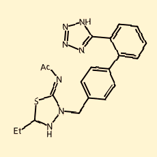 CCC1NN(Cc2ccc(-c3ccccc3-c3nnn[nH]3)cc2)C(=NC(C)=O)S1